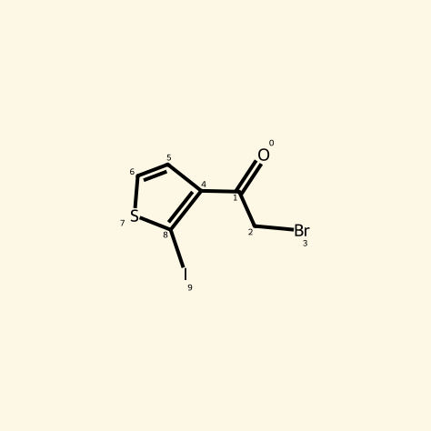 O=C(CBr)c1ccsc1I